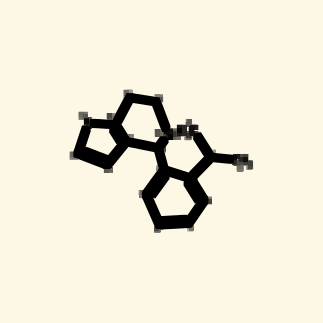 CC(C)c1ccccc1C1NCCc2sccc21